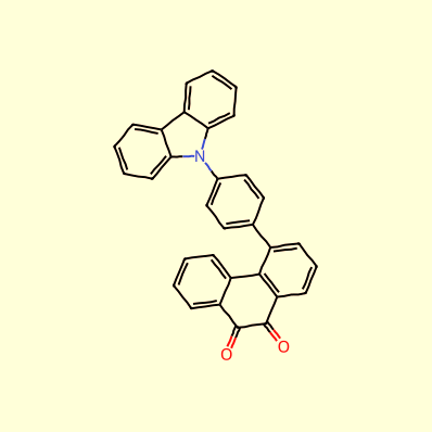 O=C1C(=O)c2cccc(-c3ccc(-n4c5ccccc5c5ccccc54)cc3)c2-c2ccccc21